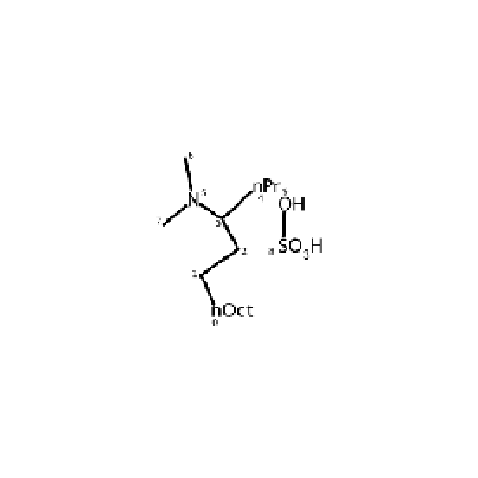 CCCCCCCCCCC(CCC)N(C)C.O=S(=O)(O)O